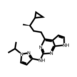 CC(C)n1ccc(Nc2nc(CC[C@@H](C)C3CC3)c3cc[nH]c3n2)n1